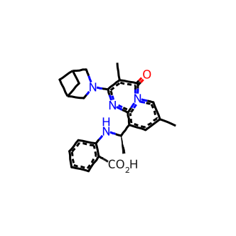 Cc1cc([C@@H](C)Nc2ccccc2C(=O)O)c2nc(N3CC4CC(C4)C3)c(C)c(=O)n2c1